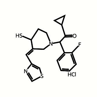 Cl.O=C(C1CC1)C(c1ccccc1F)N1CCC(S)C(=Cc2cscn2)C1